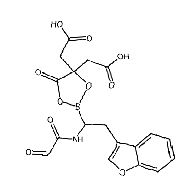 O=CC(=O)NC(Cc1coc2ccccc12)B1OC(=O)C(CC(=O)O)(CC(=O)O)O1